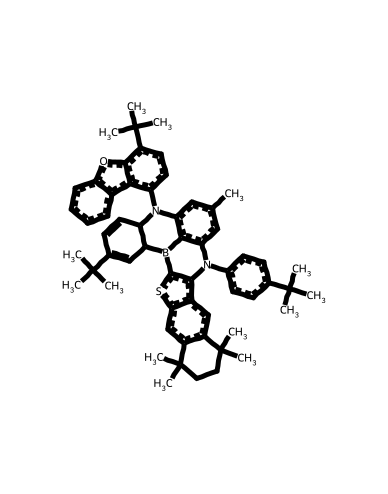 Cc1cc2c3c(c1)N(c1ccc(C(C)(C)C)c4oc5ccccc5c14)C1C=CC(C(C)(C)C)=CC1B3c1sc3cc4c(cc3c1N2c1ccc(C(C)(C)C)cc1)C(C)(C)CCC4(C)C